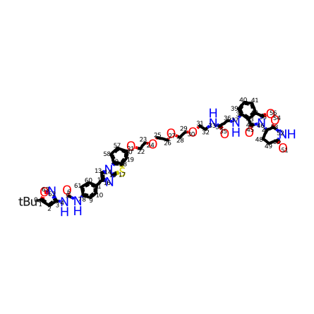 CC(C)(C)c1cc(NC(=O)Nc2ccc(-c3cn4c(n3)sc3cc(OCCOCCOCCOCCNC(=O)CNc5cccc6c5C(=O)N(C5CCC(=O)NC5=O)C6=O)ccc34)cc2)no1